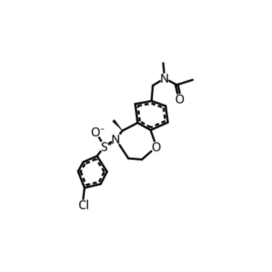 CC(=O)N(C)Cc1ccc2c(c1)[C@H](C)N([S+]([O-])c1ccc(Cl)cc1)CCO2